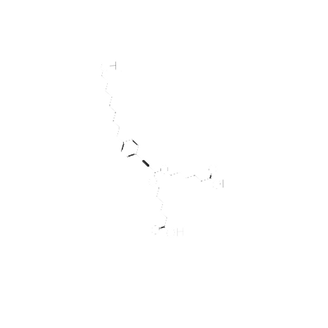 CCCCCCCCCCc1ccc(C#CC(OCCCCCC(=O)O)OCCCCCC(=O)O)cc1